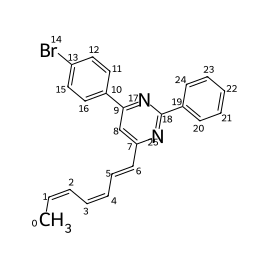 C\C=C/C=C\C=C\c1cc(-c2ccc(Br)cc2)nc(-c2ccccc2)n1